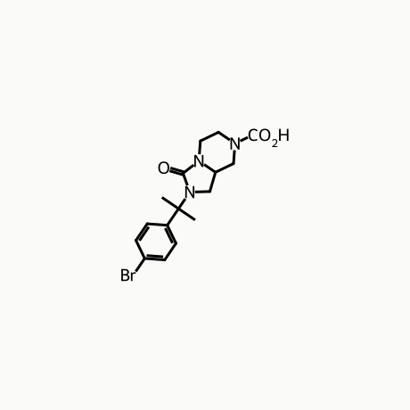 CC(C)(c1ccc(Br)cc1)N1CC2CN(C(=O)O)CCN2C1=O